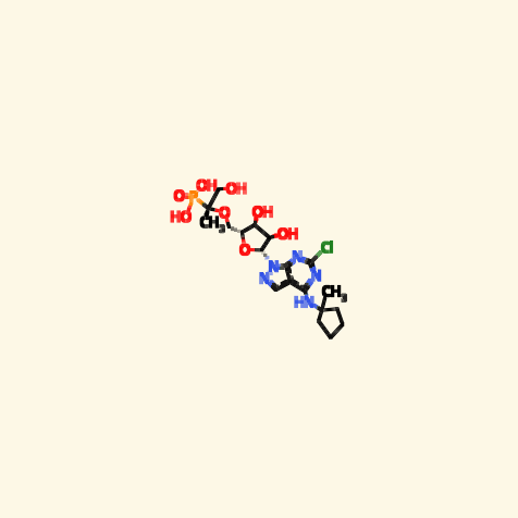 CC1(Nc2nc(Cl)nc3c2cnn3[C@@H]2O[C@H](CO[C@@](C)(CO)P(=O)(O)O)[C@@H](O)[C@H]2O)CCCC1